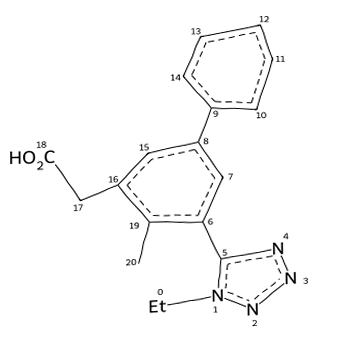 CCn1nnnc1-c1cc(-c2ccccc2)cc(CC(=O)O)c1C